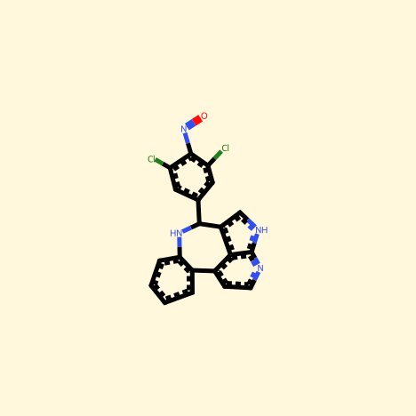 O=Nc1c(Cl)cc(C2Nc3ccccc3-c3ccnc4[nH]cc2c34)cc1Cl